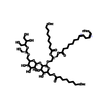 CCCCCC/C=C\C/C=C\CCCCCCC(=O)OC[C@H](CO[C@@H]1OC(COC(=O)CCCCCCCCCCCCCCCC)[C@@H](O)C(O)C1O[C@@H]1OC(CO[C@H](CO)OC(CO)C(O)CO)[C@H](O)C(O)C1O)OC(=O)CCCCCCCCCCCCCCCCC